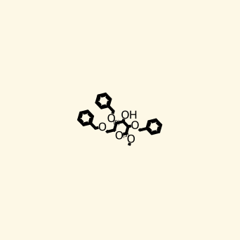 CO[C@H]1OC(COCc2ccccc2)[C@H](OCc2ccccc2)C(O)C1OCc1ccccc1